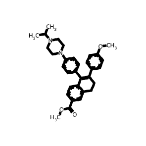 COC(=O)c1ccc2c(c1)CCC(c1ccc(OC)cc1)=C2c1ccc(N2CCN(C(C)C)CC2)cc1